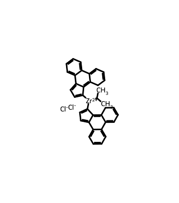 C[C](C)=[Zr+2]([C]1=CC=c2c1c1c(c3ccccc23)=CC=CC1)[C]1=CC=c2c1c1c(c3ccccc23)=CC=CC1.[Cl-].[Cl-]